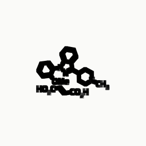 COc1ccccc1-n1nc(C2CCN(C)CC2)c2ccccc21.O=C(O)C=CC(=O)O